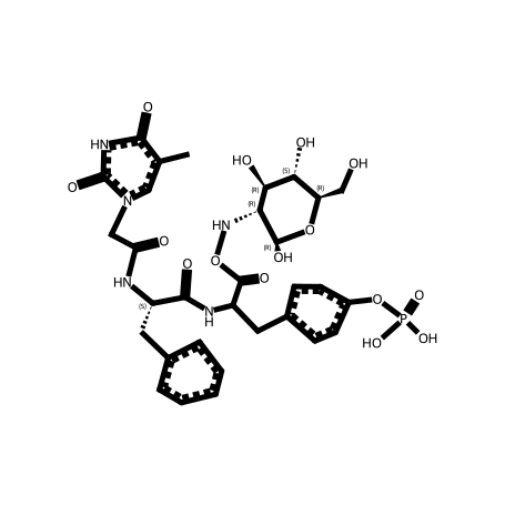 Cc1cn(CC(=O)N[C@@H](Cc2ccccc2)C(=O)NC(Cc2ccc(OP(=O)(O)O)cc2)C(=O)ON[C@@H]2[C@@H](O)[C@H](O)[C@@H](CO)O[C@H]2O)c(=O)[nH]c1=O